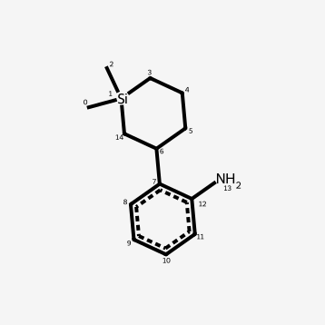 C[Si]1(C)CCCC(c2ccccc2N)C1